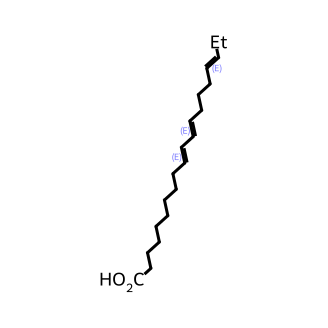 CC/C=C/CCC/C=C/C=C/CCCCCCCCC(=O)O